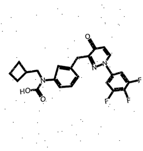 O=C(O)N(CC1CCC1)c1cccc(Cc2nn(-c3cc(F)c(F)c(F)c3)ccc2=O)c1